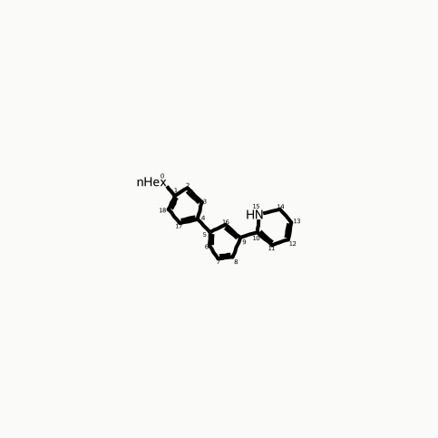 CCCCCCc1ccc(-c2cccc(C3=CC=CCN3)c2)cc1